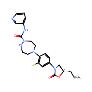 CC(=O)NC[C@H]1CN(c2ccc(N3CCNN(C(=O)Nc4cccnc4)CC3)c(F)c2)C(=O)O1